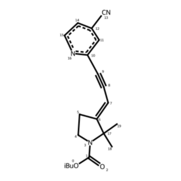 CC(C)COC(=O)N1CC/C(=C\C#Cc2cc(C#N)ccn2)C1(C)C